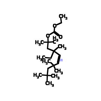 CCOC(=O)OC(C)(C)CC(C)(/C=C\C(C)(C)CC(C)(C)C)CC